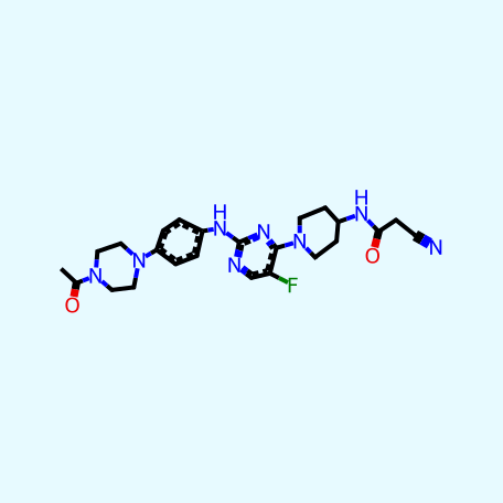 CC(=O)N1CCN(c2ccc(Nc3ncc(F)c(N4CCC(NC(=O)CC#N)CC4)n3)cc2)CC1